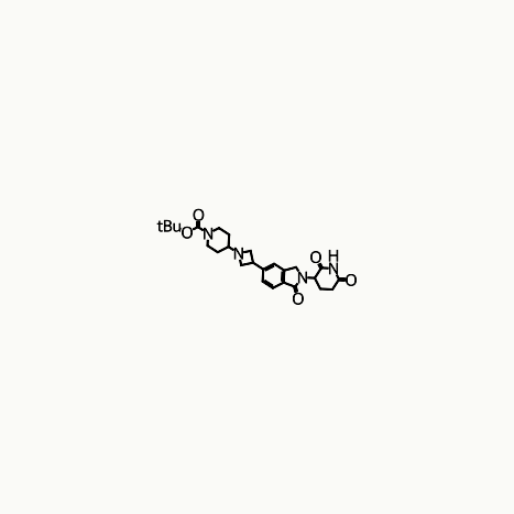 CC(C)(C)OC(=O)N1CCC(N2CC(c3ccc4c(c3)CN(C3CCC(=O)NC3=O)C4=O)C2)CC1